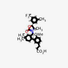 COc1ccc(CCC(=O)O)cc1C1=C(CN2C(=O)O[C@H](c3cc(C)cc(C(F)(F)F)c3)[C@@H]2C)CC(C)(C)CC1